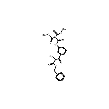 CC(C)(C)OC(=O)N(C(=N)Nc1cccc(C(=O)C(N)C(=O)OCc2ccccc2)c1)C(=O)OC(C)(C)C